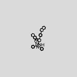 C1=CC2=CC=C(c3ccc(C4=c5c(oc6cc7c(cc56)CCC=C7)=C(C5=NC(c6ccccc6)=NC(c6ccccc6)N5)CC4)cc3)CC2C=C1